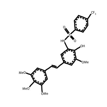 COc1cc(C=Cc2cc(OC)c(OC)c(OC)c2)cc(NS(=O)(=O)c2ccc(C(F)(F)F)cc2)c1O